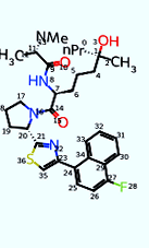 CCC[C@@](C)(O)CCC[C@H](NC(=O)[C@H](C)NC)C(=O)N1CCC[C@H]1c1nc(-c2ccc(F)c3ccccc23)cs1